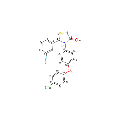 O=C1CSC(c2cccc(F)c2)N1c1ccc(Oc2ccc(Cl)cc2)cc1